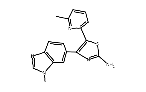 Cc1cccc(-c2sc(N)nc2-c2ccc3ncn(C)c3c2)n1